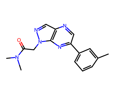 Cc1cccc(-c2cnc3cnn(CC(=O)N(C)C)c3n2)c1